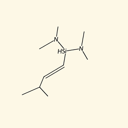 CC(C)C=C[SiH](N(C)C)N(C)C